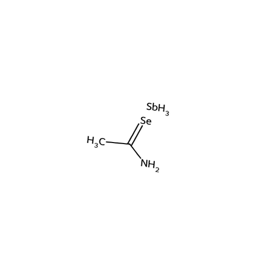 CC(N)=[Se].[SbH3]